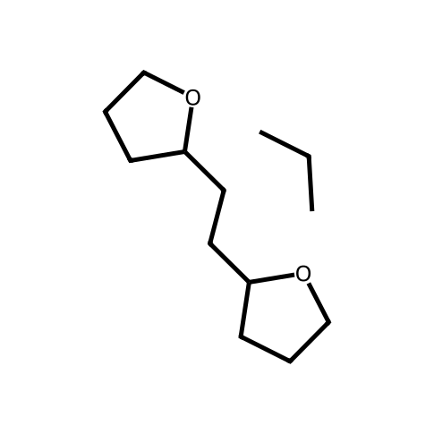 C1COC(CCC2CCCO2)C1.CCC